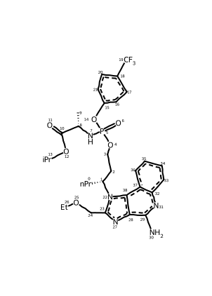 CCC[C@H](CCOP(=O)(N[C@@H](C)C(=O)OC(C)C)Oc1ccc(C(F)(F)F)cc1)n1c(COCC)nc2c(N)nc3ccccc3c21